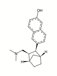 CN(C)C[C@@H]1[C@H]2CC[C@H](C2)[C@@H]1c1ccc2cc(O)ccc2c1